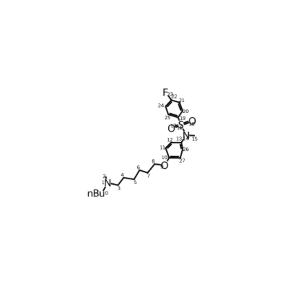 CCCCN(C)CCCCCCOc1ccc(N(C)S(=O)(=O)c2ccc(F)cc2)cc1